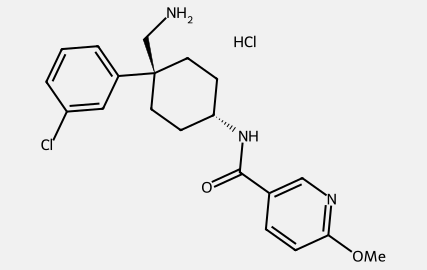 COc1ccc(C(=O)N[C@H]2CC[C@@](CN)(c3cccc(Cl)c3)CC2)cn1.Cl